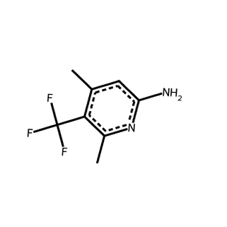 Cc1cc(N)nc(C)c1C(F)(F)F